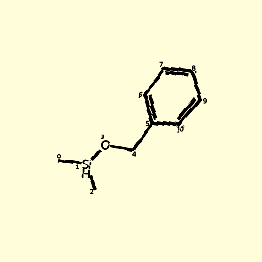 C[SiH](C)OCc1cc[c]cc1